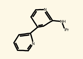 CC(C)Nc1cc(-c2ccccn2)ccn1